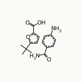 CC(C)(C)c1ccc(C(=O)O)o1.NC(=O)c1ccc(N)cc1